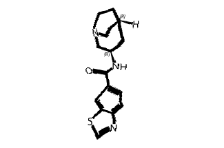 O=C(N[C@@H]1C[C@H]2CCN(C2)C1)c1ccc2ncsc2c1